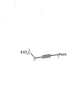 CCCCCC#COC(=O)OCC